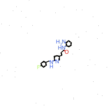 Nc1ccccc1NC(=O)C=Cc1ccc(NCc2ccc(F)cc2)nc1